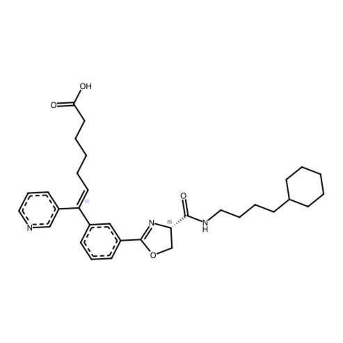 O=C(O)CCCC/C=C(\c1cccnc1)c1cccc(C2=N[C@H](C(=O)NCCCCC3CCCCC3)CO2)c1